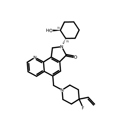 C=CC1(F)CCN(Cc2cc3c(c4ncccc24)CN([C@H]2CCCC[C@@H]2O)C3=O)CC1